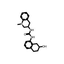 CN1CC(NC(=O)Nc2cccc3c2CC(O)CC3)Cc2ccccc21